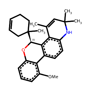 COc1cccc2c1-c1ccc3c(c1[C@H](C1(C)CC=CCC1)O2)C(C)=CC(C)(C)N3